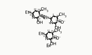 CCc1cc(C)[n+]([O-])c(O)n1.CCc1cc(C)[n+]([O-])c(O)n1.CCc1cc(C)[n+]([O-])c(O)n1.[Fe]